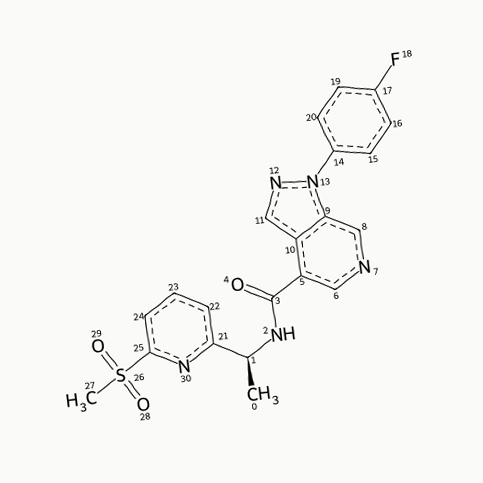 C[C@H](NC(=O)c1cncc2c1cnn2-c1ccc(F)cc1)c1cccc(S(C)(=O)=O)n1